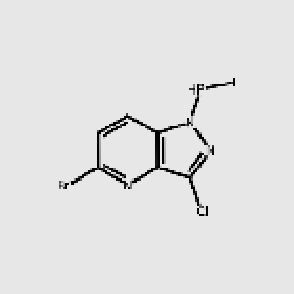 Clc1nn(PI)c2ccc(Br)nc12